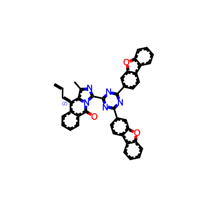 C=C/C=c1/c2ccccc2c(=O)n2c(-c3nc(-c4ccc5c(c4)oc4ccccc45)nc(-c4ccc5c(c4)oc4ccccc45)n3)nc(C)c12